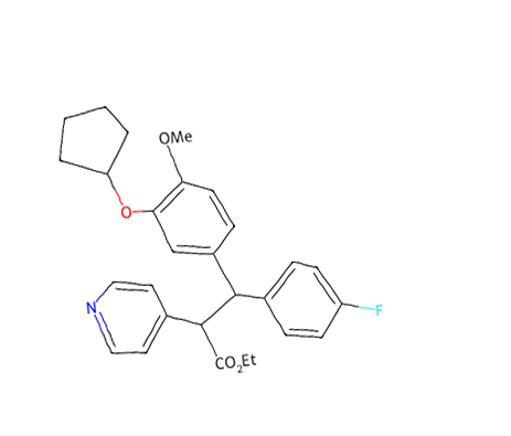 CCOC(=O)C(c1ccncc1)C(c1ccc(F)cc1)c1ccc(OC)c(OC2CCCC2)c1